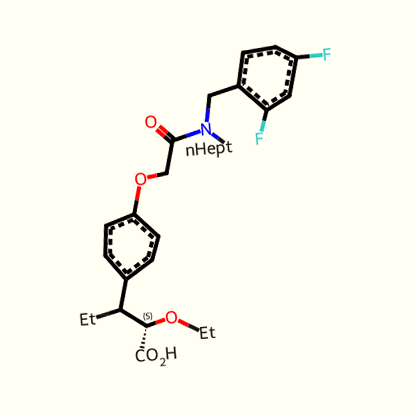 CCCCCCCN(Cc1ccc(F)cc1F)C(=O)COc1ccc(C(CC)[C@H](OCC)C(=O)O)cc1